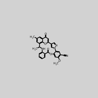 COc1ccc(-n2cc(-c3cc(=O)c4cc(C)cc(C(C)Nc5ccccc5C(=O)O)c4o3)cn2)cc1C#N